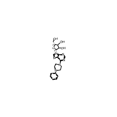 OC[C@H]1O[C@@H](n2cnc3c(N4CCN(c5ccccc5)CC4)ncnc32)C(O)C1O